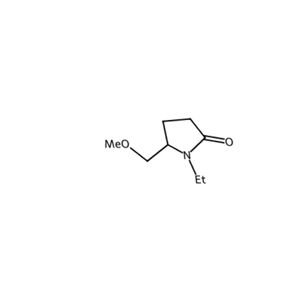 CCN1C(=O)CCC1COC